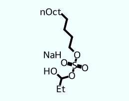 CCCCCCCCCCCCOS(=O)(=O)OC(O)CC.[NaH]